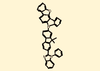 CC1(C)c2cc(-c3nc4ccccc4n3-c3ccccc3)ccc2-c2ccc(-n3c4ccccc4c4c5oc6ccccc6c5ccc43)cc21